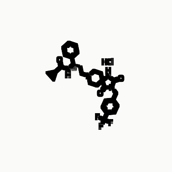 Cl.O=C(N[C@@H](CCN1CCC2(CC1)NC(=O)N(Cc1ccc(C(F)(F)F)cc1)C2=O)c1ccccc1)C1CC1